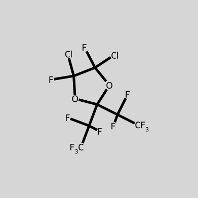 FC(F)(F)C(F)(F)C1(C(F)(F)C(F)(F)F)OC(F)(Cl)C(F)(Cl)O1